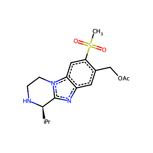 CC(=O)OCc1cc2nc3n(c2cc1S(C)(=O)=O)CCN[C@@H]3C(C)C